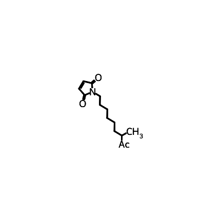 CC(=O)C(C)CCCCCCN1C(=O)C=CC1=O